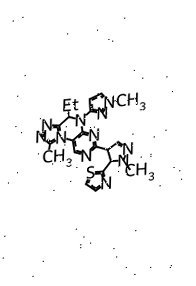 CC[C@@H]1c2nnc(C)n2-c2cnc(C3C=NN(C)C3c3nccs3)nc2N1c1ccn(C)n1